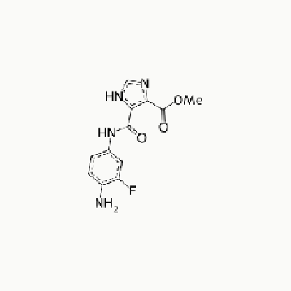 COC(=O)c1nc[nH]c1C(=O)Nc1ccc(N)c(F)c1